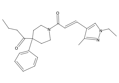 CCCC(=O)C1(c2ccccc2)CCN(C(=O)C=Cc2cn(CC)nc2C)CC1